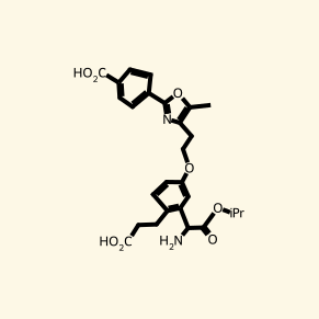 Cc1oc(-c2ccc(C(=O)O)cc2)nc1CCOc1ccc(CCC(=O)O)c(C(N)C(=O)OC(C)C)c1